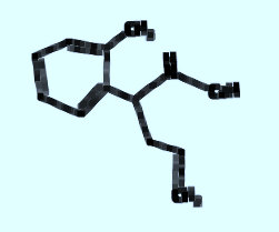 C=CCC([NH][CaH])c1ccccc1C